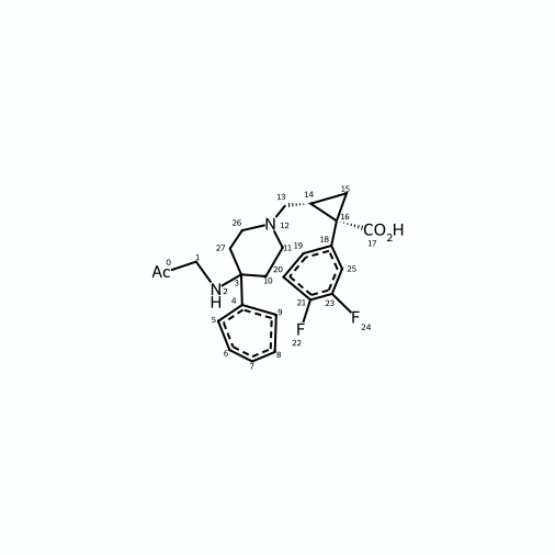 CC(=O)CNC1(c2ccccc2)CCN(C[C@@H]2C[C@@]2(C(=O)O)c2ccc(F)c(F)c2)CC1